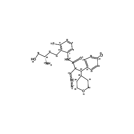 [N-]=[N+]=NC(C(=O)Nc1cccc(F)c1CC[C@H](N)CO)C(c1ccc(Cl)cc1)C1CCOCC1